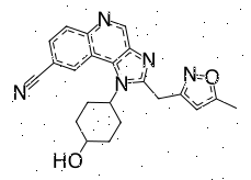 Cc1cc(Cc2nc3cnc4ccc(C#N)cc4c3n2C2CCC(O)CC2)no1